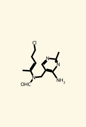 CC(=CCCCl)N(C=O)Cc1cnc(C)nc1N